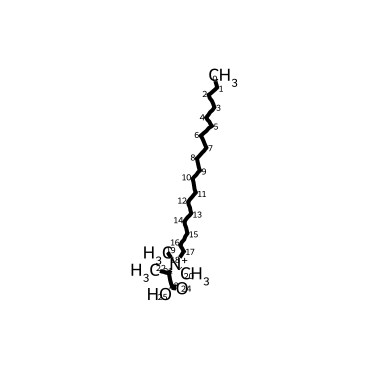 CCCCCCCCCCCCCCCCCC[N+](C)(C)C(C)C(=O)O